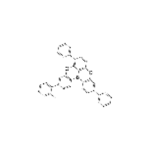 Cc1ccccc1-c1ccc2c(c1)Oc1c(-c3ccccc3)ccc3c1B2c1ccc(-c2ccccc2)cc1O3